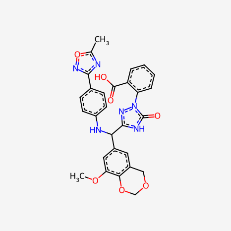 COc1cc(C(Nc2ccc(-c3noc(C)n3)cc2)c2nn(-c3ccccc3C(=O)O)c(=O)[nH]2)cc2c1OCOC2